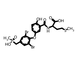 CSCCC(NC(=O)c1cc(Oc2c(Br)cc(CP(C)(=O)O)cc2Br)ccc1O)C(=O)O